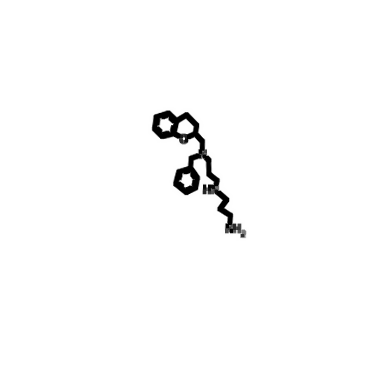 NCCCNCCCN(Cc1ccccc1)CC1CCc2ccccc2O1